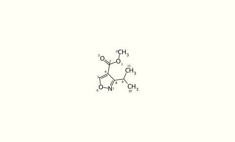 COC(=O)c1conc1C(C)C